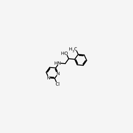 Cc1ccccc1C(O)CNc1ccnc(Cl)n1